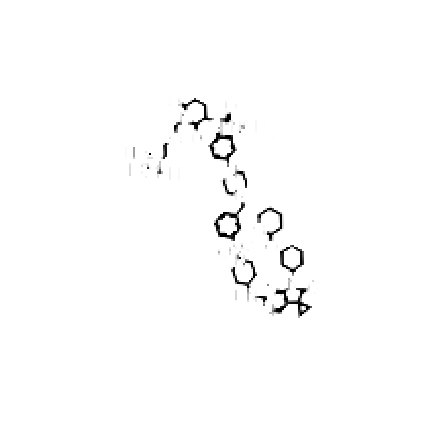 Cn1c(=O)n(C2CCC(=O)N(COCC[Si](C)(C)C)C2=O)c2ccc(N3CCN(Cc4cccc(S(=O)(=O)N5CCC(Nc6ncc7c(n6)N([C@@H]6CCC[C@@H](OC8CCCCO8)C6)C(=O)C76CC6)CC5)c4)CC3)cc21